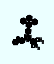 Cc1cc(-c2nc(-c3ccc(-c4cc(-c5ccccc5)c(-c5ccccc5)c(-c5ccccc5)c4)cc3)nc(-c3ccc4c(c3)oc3ccccc34)n2)cc(C)n1